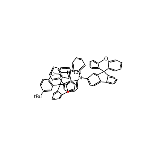 CC(C)(C)c1ccc2c(c1)C1(c3cc(C(C)(C)C)ccc3O2)c2ccccc2-c2ccc(N(c3ccc4c(c3)C3(c5ccccc5Oc5ccccc53)c3ccccc3-4)c3ccccc3-n3c4ccccc4c4ccccc43)cc21